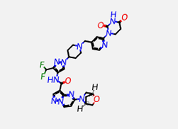 O=C1CCN(c2cc(CN3CCC(n4cc(NC(=O)c5cnn6ccc(N7C[C@@H]8C[C@H]7CO8)nc56)c(C(F)F)n4)CC3)ccn2)C(=O)N1